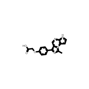 Cc1nc(-c2ccc(OCC(=O)O)cc2)c2cnc3[nH]ccc3n12